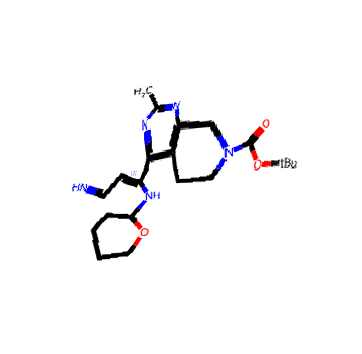 Cc1nc2c(c(/C(=C/C=N)NC3CCCCO3)n1)CCN(C(=O)OC(C)(C)C)C2